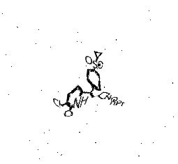 CCCON1CC[C@H](/C=C(\c2ccc(S(=O)(=O)C3CC3)cc2)c2ccc(Cl)c(=O)[nH]2)C1